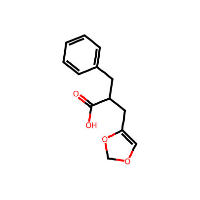 O=C(O)C(CC1=COCO1)Cc1ccccc1